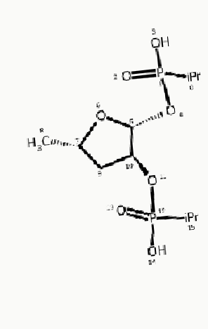 CC(C)P(=O)(O)O[C@H]1O[C@@H](C)C[C@@H]1OP(=O)(O)C(C)C